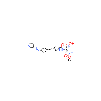 CC(C)(C)OC(=O)NC(C)(C)[C@H](NC(=O)c1ccc(C#Cc2ccc(CNCc3cccnc3)cc2)cc1)C(=O)NO